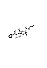 C=CCOC(=O)[C@@H]1N2C(=O)[C@@H]([C@H](O)C(=O)c3ccsc3)[C@H]2SC1(C)C